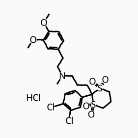 COc1ccc(CCN(C)CCCC2(c3ccc(Cl)c(Cl)c3)S(=O)(=O)CCCS2(=O)=O)cc1OC.Cl